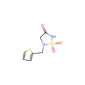 O=C1CN(Cc2cccs2)S(=O)(=O)N1